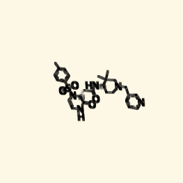 Cc1ccc(S(=O)(=O)N2C=CNC(=O)[C@H]2CC(=O)N[C@H]2CCN(Cc3cccnc3)CC2(C)C)cc1